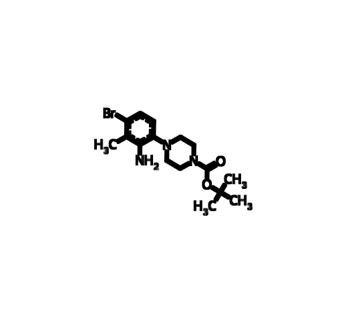 Cc1c(Br)ccc(N2CCN(C(=O)OC(C)(C)C)CC2)c1N